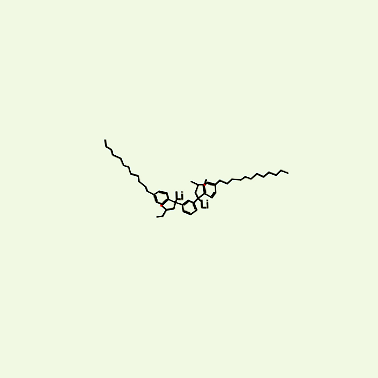 [Li][C](CC(C)CC)(c1ccc(CCCCCCCCCCCC)cc1)c1cccc([C]([Li])(CC(C)CC)c2ccc(CCCCCCCCCCCC)cc2)c1